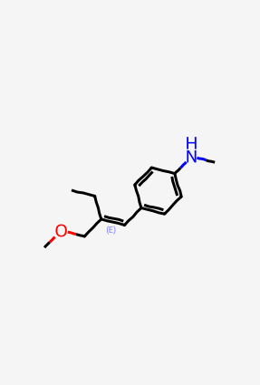 CC/C(=C\c1ccc(NC)cc1)COC